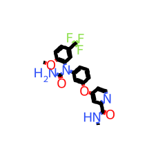 CNC(=O)c1cc(Oc2cccc(N(C(N)=O)c3cc(C(F)(F)F)ccc3OC)c2)ccn1